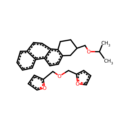 CC(C)OCC1CCc2c(ccc3c2ccc2ccccc23)C1.c1coc(COCc2ccco2)c1